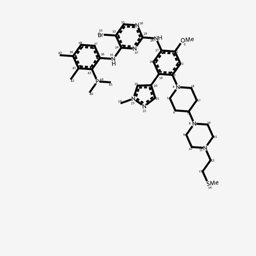 COc1cc(N2CCC(N3CCN(CCSC)CC3)CC2)c(-c2cnn(C)c2)cc1Nc1ncc(Br)c(Nc2ccc(C)c(C)c2P(C)C)n1